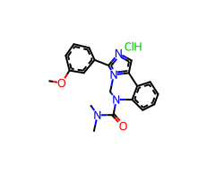 COc1cccc(-c2ncc3n2CN(C(=O)N(C)C)c2ccccc2-3)c1.Cl